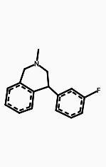 CN1Cc2ccccc2C(c2cccc(F)c2)C1